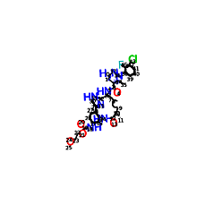 CC/C(C(=O)N[C@H]1CCC[C@H](C)C(=O)Nc2cc(NC(=O)OCCOC)ccc2-c2c[nH]c1n2)=C(/C)N(N)c1cccc(Cl)c1F